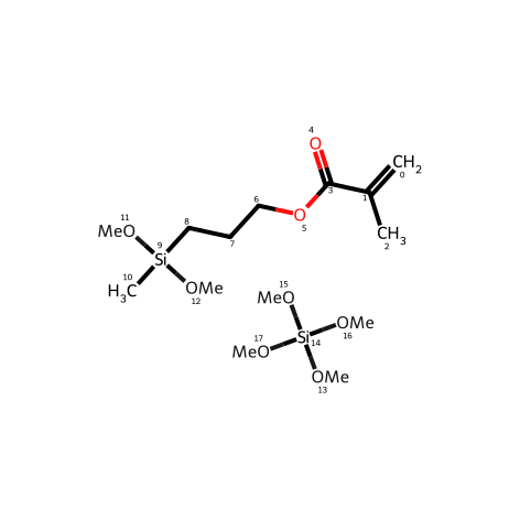 C=C(C)C(=O)OCCC[Si](C)(OC)OC.CO[Si](OC)(OC)OC